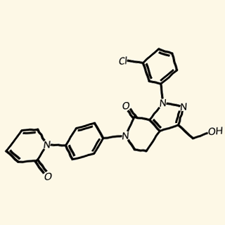 O=C1c2c(c(CO)nn2-c2cccc(Cl)c2)CCN1c1ccc(-n2ccccc2=O)cc1